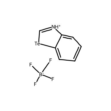 F[B-](F)(F)F.c1ccc2[te]c[nH+]c2c1